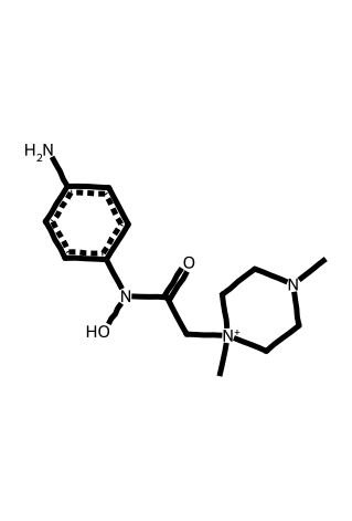 CN1CC[N+](C)(CC(=O)N(O)c2ccc(N)cc2)CC1